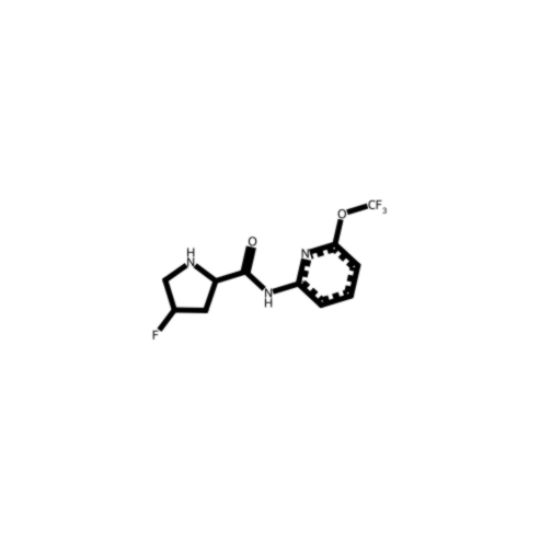 O=C(Nc1cccc(OC(F)(F)F)n1)C1CC(F)CN1